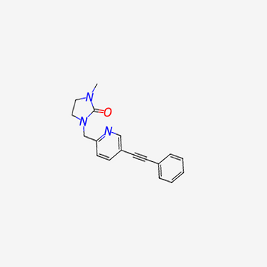 CN1CCN(Cc2ccc(C#Cc3ccccc3)cn2)C1=O